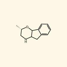 C[C@H]1CNC2Cc3ccccc3C2O1